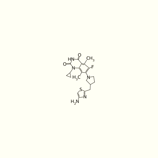 Cc1c(F)c(N2CCC(Cc3nc(N)cs3)C2)c(C)c2c1c(=O)[nH]c(=O)n2C1CC1